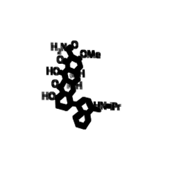 COC1=C(C(N)=O)C(=O)C2C(O)=C3C(=O)c4c(O)ccc(-c5ccc(CNC(C)C)c6ccccc56)c4C[C@H]3C[C@H]2C1